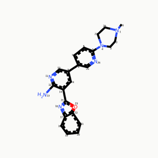 CN1CCN(c2ccc(-c3cnc(N)c(-c4nc5ccccc5o4)c3)cn2)CC1